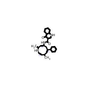 C=C1/C=C(/NC(=O)c2c[nH]c3ccccc3c2=O)C/C(c2ccccc2)=C\C(C)/C=C\N1